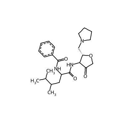 CC(C)C(C)CC(NC(=O)c1ccccc1)C(=O)NC1C(=O)CO[C@H]1CN1CCCC1